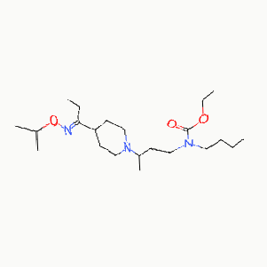 CCCCN(CCC(C)N1CCC(C(CC)=NOC(C)C)CC1)C(=O)OCC